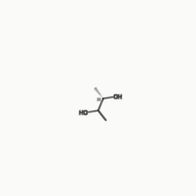 CC(O)[C@H](C)O